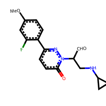 COc1ccc(-c2ccc(=O)n(C(C=O)CNC3CC3)n2)c(F)c1